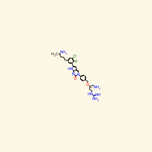 C[C@H](N)CCCc1cc(Cl)c(F)c(-c2cc3cn(-c4ccc(CO[C@@H](CN)CCNC(=N)N)cc4)c(=O)nc3[nH]2)c1